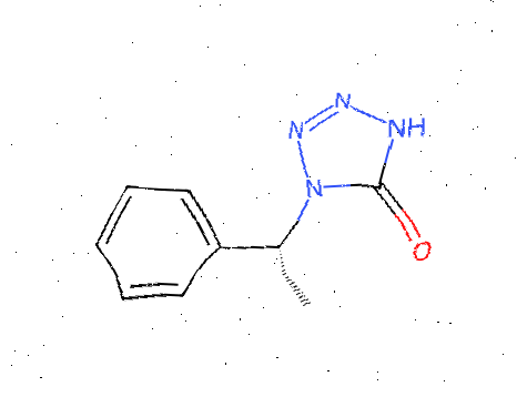 C[C@H](c1ccccc1)n1nn[nH]c1=O